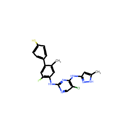 Cc1cc(Nc2nc(Nc3cc(C)c(-c4ccc(S)cc4)cc3F)ncc2Cl)n[nH]1